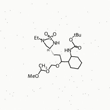 CCN1C[C@@H](CCC(OCOC(C)OC)C2CCCCC2NC(=O)OC(C)(C)C)NS1(=O)=O